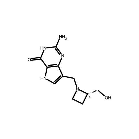 Nc1nc2c(CN3CC[C@H]3CO)c[nH]c2c(=O)[nH]1